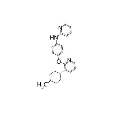 C[C@H]1CC[C@H](c2cccnc2Oc2ccc(Nc3ccccn3)cc2)CC1